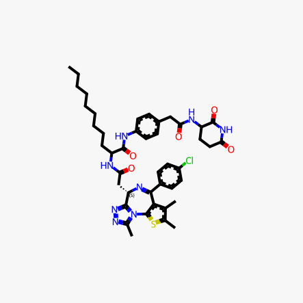 CCCCCCCCCC(NC(=O)C[C@@H]1N=C(c2ccc(Cl)cc2)c2c(sc(C)c2C)-n2c(C)nnc21)C(=O)Nc1ccc(CC(=O)NC2CCC(=O)NC2=O)cc1